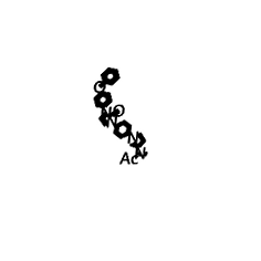 CC(=O)N(C)C1CCN(C2CCC(n3ccn(-c4ccc(Oc5ccccc5)cc4)c3=O)CC2)C1